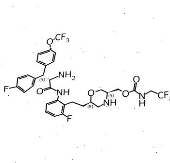 NC(C(=O)Nc1cccc(F)c1CC[C@@H]1CN[C@H](COC(=O)NCC(F)(F)F)CO1)[C@H](c1ccc(F)cc1)c1ccc(OC(F)(F)F)cc1